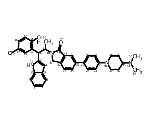 C[C@H]([C@@H](c1cc2ccccc2[nH]1)c1cc(Cl)ccc1O)N1Cc2ccc(-c3ccc(N4CCC(N(C)C)CC4)cc3)cc2C1=O